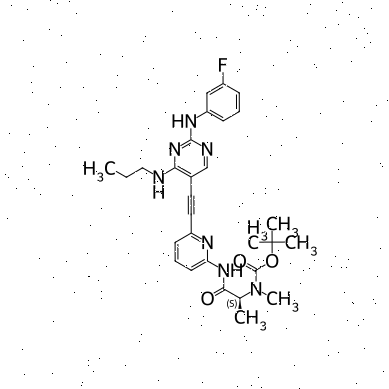 CCCNc1nc(Nc2cccc(F)c2)ncc1C#Cc1cccc(NC(=O)[C@H](C)N(C)C(=O)OC(C)(C)C)n1